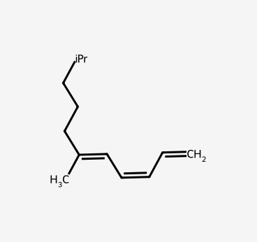 C=C/C=C\C=C(/C)CCCC(C)C